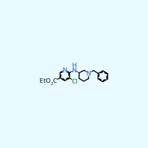 CCOC(=O)c1cnc(N[C@@H]2CCCN(Cc3ccccc3)C2)c(Cl)c1